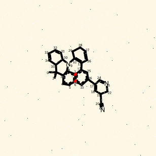 CC1(C)c2ccccc2N(C2=C(c3cccc(C4=CC(C#N)CN=C4)c3)C=CCC2)C2C=CC=CC21